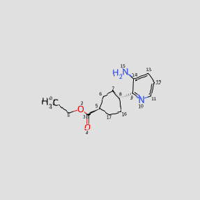 CCOC(=O)[C@H]1CC[C@H](c2ncccc2N)CC1